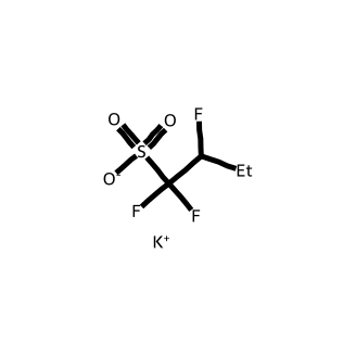 CCC(F)C(F)(F)S(=O)(=O)[O-].[K+]